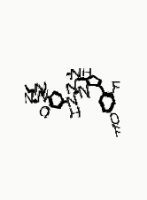 CNc1nc(Nc2ccc(-n3cnc(C)n3)c(OC)c2)nc2c1CCC2c1ccc(OCF)cc1F